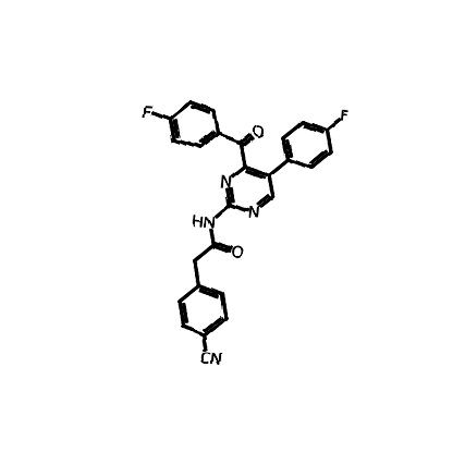 N#Cc1ccc(CC(=O)Nc2ncc(-c3ccc(F)cc3)c(C(=O)c3ccc(F)cc3)n2)cc1